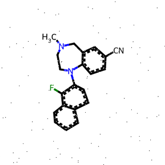 CN1CCN(c2ccc3ccccc3c2F)c2ccc(C#N)cc2C1